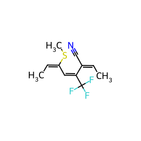 C\C=C(/C=C(\C(C#N)=C/C)C(F)(F)F)SC